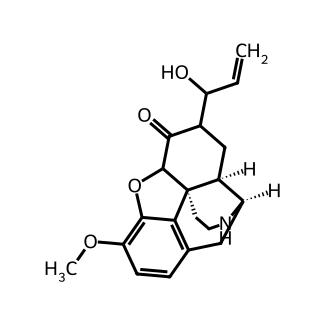 C=CC(O)C1C[C@H]2[C@H]3Cc4ccc(OC)c5c4[C@@]2(CCN3)C(O5)C1=O